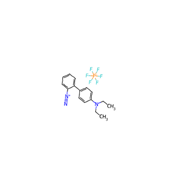 CCN(CC)c1ccc(-c2ccccc2[N+]#N)cc1.F[P-](F)(F)(F)(F)F